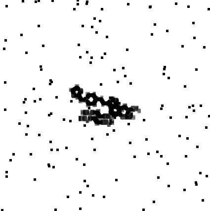 CC(C)COc1ccc2c(CCC3CCN(CC4OCCO4)CC3)noc2c1CN(C)C.O=C(O)C=CC(=O)O.O=C(O)C=CC(=O)O